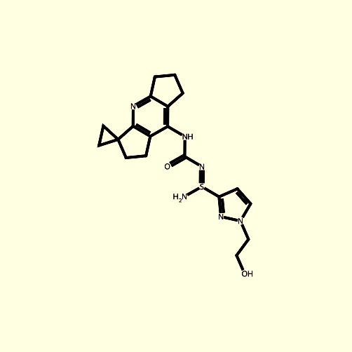 N/S(=N\C(=O)Nc1c2c(nc3c1CCC31CC1)CCC2)c1ccn(CCO)n1